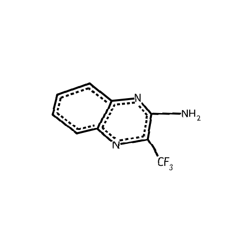 Nc1nc2ccccc2nc1C(F)(F)F